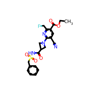 CCOC(=O)c1cc(C#N)c(N2CC(C(=O)NS(=O)(=O)Cc3ccccc3)C2)nc1CF